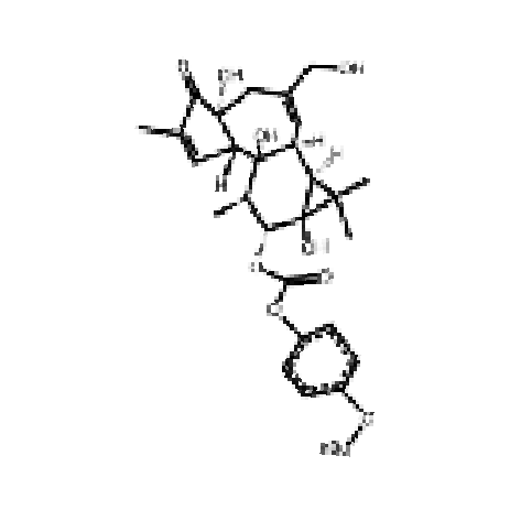 CCCCOc1ccc(OC(=O)O[C@@H]2[C@@H](C)[C@@]3(O)[C@@H](C=C(CO)C[C@]4(O)C(=O)C(C)=C[C@@H]34)[C@H]3C(C)(C)[C@]23O)cc1